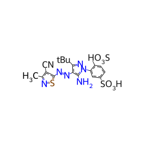 Cc1nsc(N=Nc2c(C(C)(C)C)nn(-c3cc(S(=O)(=O)O)ccc3S(=O)(=O)O)c2N)c1C#N